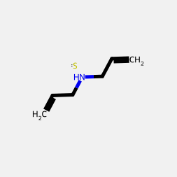 C=CCNCC=C.[S]